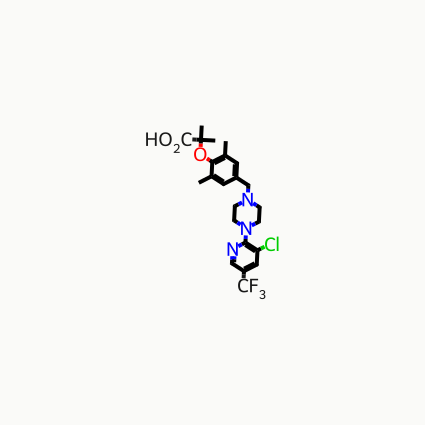 Cc1cc(CN2CCN(c3ncc(C(F)(F)F)cc3Cl)CC2)cc(C)c1OC(C)(C)C(=O)O